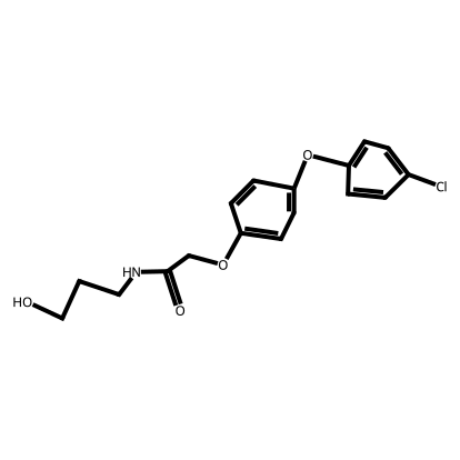 O=C(COc1ccc(Oc2ccc(Cl)cc2)cc1)NCCCO